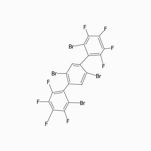 Fc1c(F)c(F)c(-c2cc(Br)c(-c3c(F)c(F)c(F)c(F)c3Br)cc2Br)c(Br)c1F